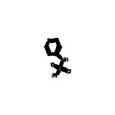 CC(C)S(=O)(=O)Nc1ccncc1